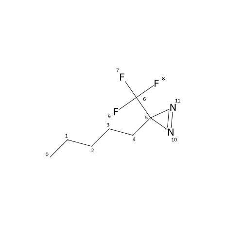 CCCCCC1(C(F)(F)F)N=N1